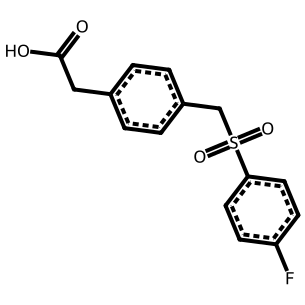 O=C(O)Cc1ccc(CS(=O)(=O)c2ccc(F)cc2)cc1